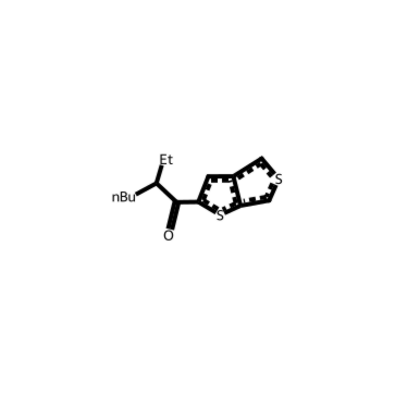 CCCCC(CC)C(=O)c1cc2cscc2s1